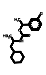 CC(OC(=O)NC(CC1CCCCC1)C(=O)O)c1cccc(Cl)c1